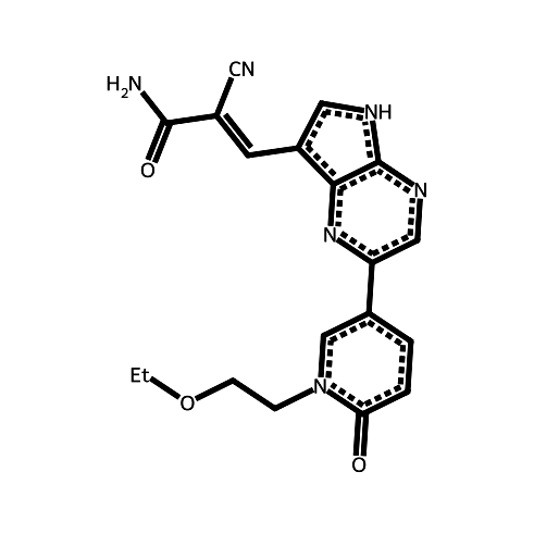 CCOCCn1cc(-c2cnc3[nH]cc(/C=C(\C#N)C(N)=O)c3n2)ccc1=O